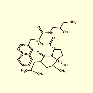 CC(C)CC(CC(C)C)C(=O)N1CCC[C@H]1C(=O)N[C@H](Cc1ccc2ccccc2c1)C(=O)NCC(O)CN.Cl